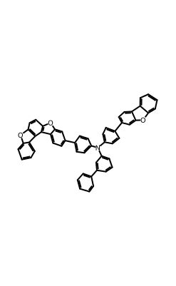 c1ccc(-c2cccc(N(c3ccc(-c4ccc5c(c4)oc4ccccc45)cc3)c3ccc(-c4ccc5c(c4)oc4ccc6oc7ccccc7c6c45)cc3)c2)cc1